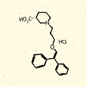 Cl.O=C(O)[C@@H]1CCCN(CCCOC=C(c2ccccc2)c2ccccc2)C1